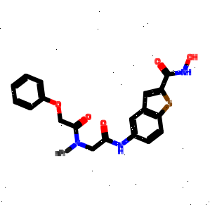 CCCN(CC(=O)Nc1ccc2sc(C(=O)NO)cc2c1)C(=O)COc1ccccc1